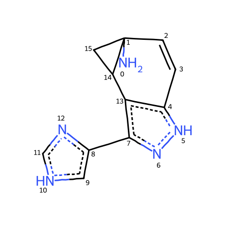 NC12C=Cc3[nH]nc(-c4c[nH]cn4)c3C1C2